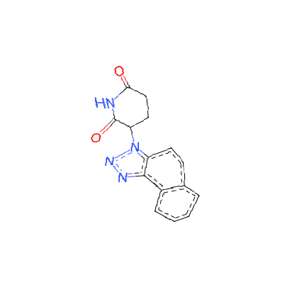 O=C1CCC(n2nnc3c4ccccc4ccc32)C(=O)N1